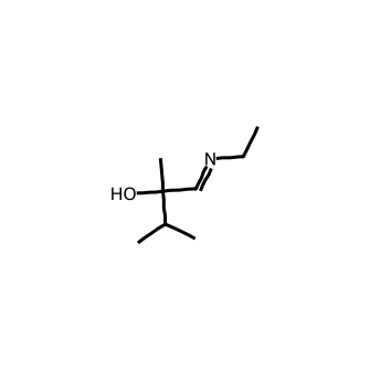 CCN=CC(C)(O)C(C)C